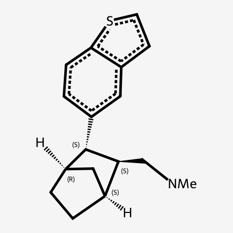 CNC[C@H]1[C@H]2CC[C@H](C2)[C@@H]1c1ccc2sccc2c1